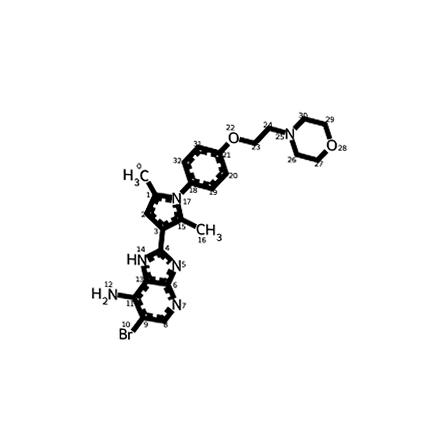 Cc1cc(-c2nc3ncc(Br)c(N)c3[nH]2)c(C)n1-c1ccc(OCCN2CCOCC2)cc1